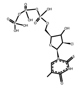 Cc1cn([C@H]2O[C@@H](COP(=O)(O)OP(=O)(O)OP(=O)(O)O)C(O)[C@H]2Cl)c(=S)[nH]c1=O